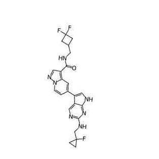 O=C(NCC1CC(F)(F)C1)c1cnn2ccc(-c3c[nH]c4nc(NCC5(F)CC5)ncc34)cc12